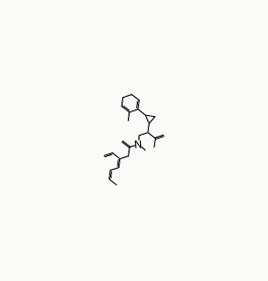 C=C/C(=C\C=C/C)CC(=C)N(C)CC(C(=C)C)C1CC1C1=CCCC=C1C